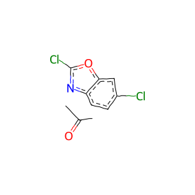 CC(C)=O.Clc1ccc2nc(Cl)oc2c1